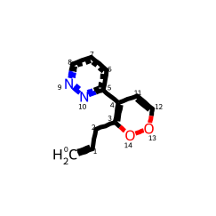 C=CCC1=C(c2cccnn2)C=COO1